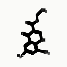 CCOC(=O)c1c[nH]c2c(C)nc(C)cc2c1=O